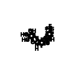 O=C1Nc2ccc(S(=O)(=O)Nc3ccc(C(F)(F)F)cc3)cc2C1=Cc1cc(O)c(O)c(O)c1